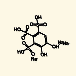 O=S(=O)(O)c1cc(O)c(O)c(S(=O)(=O)O)c1S(=O)(=O)O.[Na].[Na].[Na]